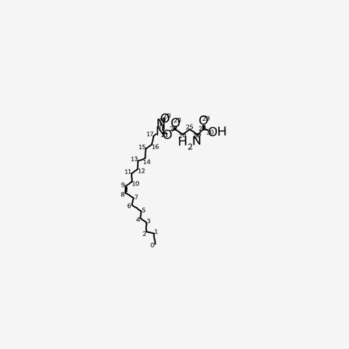 CCCCCCCC/C=C\CCCCCCCCN(N=O)OC(=O)CC[C@H](N)C(=O)O